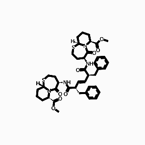 COC(=O)[C@@H]1CCC[C@@H]2SCC[C@H](NC(=O)[C@H](/C=C/[C@H](Cc3ccccc3)C(=O)N[C@H]3CCS[C@H]4CCC[C@@H](C(=O)OC)N4C3=O)Cc3ccccc3)C(=O)N21